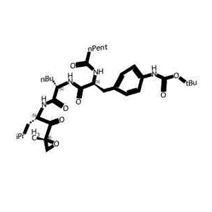 CCCCCC(=O)N[C@@H](Cc1ccc(NC(=O)OC(C)(C)C)cc1)C(=O)N[C@@H](CCCC)C(=O)N[C@@H](CC(C)C)C(=O)[C@@]1(C)CO1